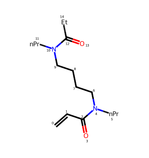 C=CC(=O)N(CCC)CCCCN(CCC)C(=O)CC